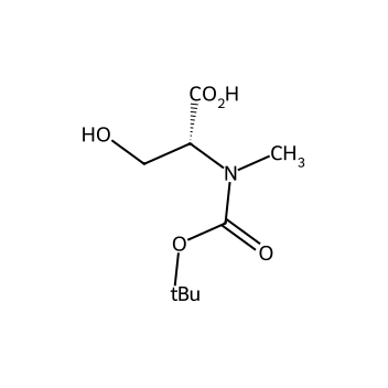 CN(C(=O)OC(C)(C)C)[C@H](CO)C(=O)O